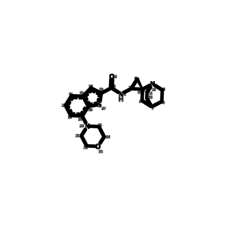 O=C(NC1C[C@@]12CC1CCN2CC1)c1cc2cccc(N3CCOCC3)c2s1